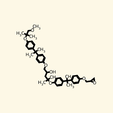 COCC(C)(C)Oc1ccc(C(C)(C)c2ccc(OCC(O)CC(C)(C)Oc3ccc(C(C)(C)c4ccc(OCC5CO5)cc4)cc3)cc2)cc1